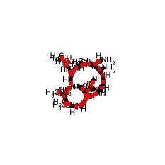 CC(C)NCCN1CCNCCN2CCNCCN(CCNCCN(CCNC(C)(C)C)C(C)(C)C)CCNCCN(C(C)(C)C)CCNCCN(CCNCCN)CCN(CCN)CCNCCNCCNCCNCCNCCN(CCNCCNCCNCCN(C(C)(C)C)CC1)CCN(CCN(CCN)CCNCCN)CCNCC2